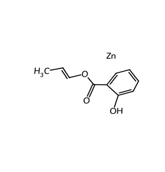 CC=COC(=O)c1ccccc1O.[Zn]